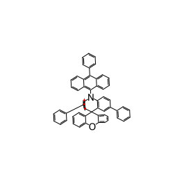 c1ccc(-c2ccc3c(c2)C2(c4ccccc4Oc4ccccc42)c2cc(-c4ccccc4)ccc2N3c2c3ccccc3c(-c3ccccc3)c3ccccc23)cc1